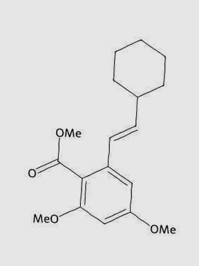 COC(=O)c1c(/C=C/C2CCCCC2)cc(OC)cc1OC